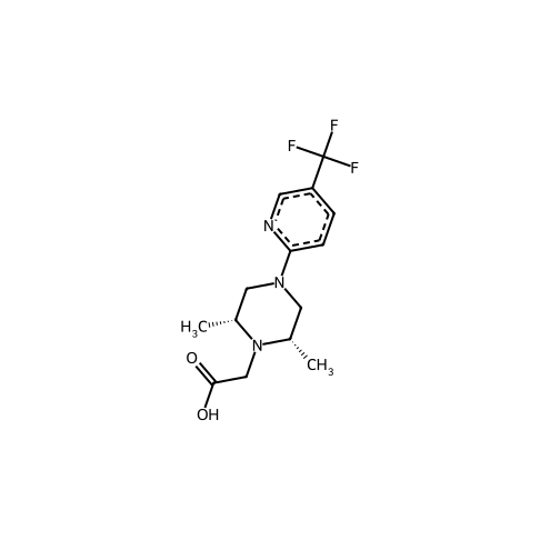 C[C@@H]1CN(c2ccc(C(F)(F)F)cn2)C[C@H](C)N1CC(=O)O